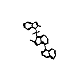 CC1=Cc2ccccc2C1C(C)(C)C1C(C)=Cc2c(-c3cccc4ccccc34)cccc21